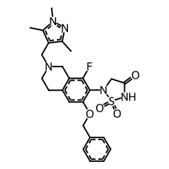 Cc1nn(C)c(C)c1CN1CCc2cc(OCc3ccccc3)c(N3CC(=O)NS3(=O)=O)c(F)c2C1